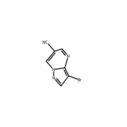 N#Cc1cnc2c(Br)cnn2c1